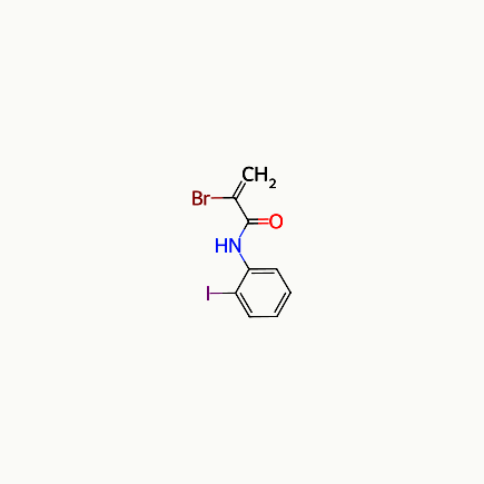 C=C(Br)C(=O)Nc1ccccc1I